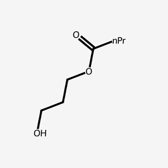 CCCC(=O)OCCCO